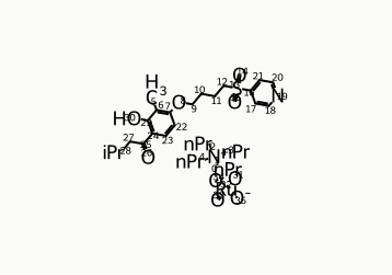 CCC[N+](CCC)(CCC)CCC.Cc1c(OCCCCS(=O)(=O)c2ccncc2)ccc(C(=O)CC(C)C)c1O.[O]=[Ru](=[O])(=[O])[O-]